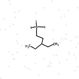 CCC(CC)CCS(I)(I)I